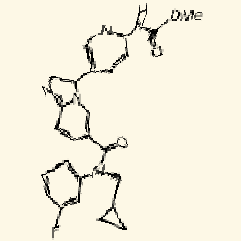 COC(=O)Nc1ccc(-c2cnc3ccc(C(=O)N(CC4CC4)c4cccc(F)c4)cn23)cn1